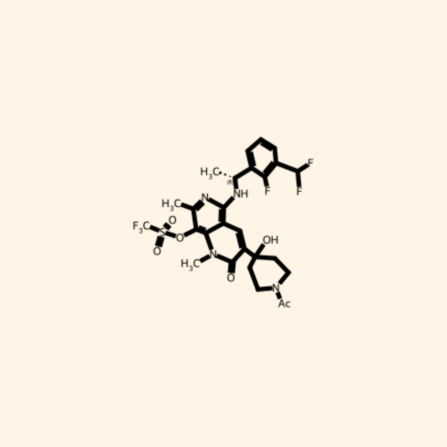 CC(=O)N1CCC(O)(c2cc3c(N[C@H](C)c4cccc(C(F)F)c4F)nc(C)c(OS(=O)(=O)C(F)(F)F)c3n(C)c2=O)CC1